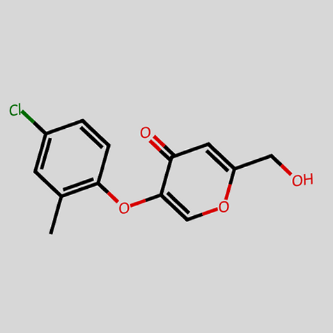 Cc1cc(Cl)ccc1Oc1coc(CO)cc1=O